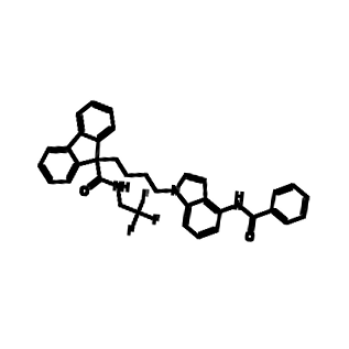 O=C(Nc1cccc2c1ccn2CCCCC1(C(=O)NCC(F)(F)F)c2ccccc2-c2ccccc21)c1ccccc1